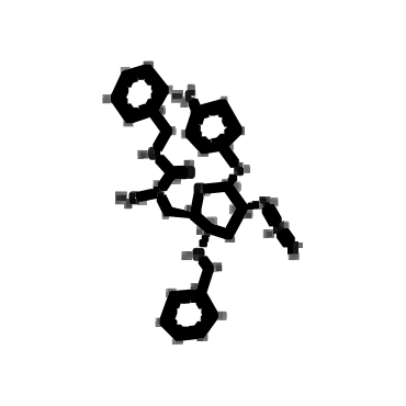 Cc1ccc(S[C@H]2O[C@H](CN(C)C(=O)OCc3ccccc3)[C@@H](OCc3ccccc3)C[C@H]2N=[N+]=[N-])cc1